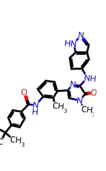 Cc1c(NC(=O)c2ccc(C(C)(C)C)cc2)cccc1-c1cn(C)c(=O)c(Nc2ccc3[nH]ncc3c2)n1